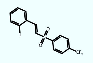 O=S(=O)(C=Cc1ccccc1I)c1ccc(C(F)(F)F)cc1